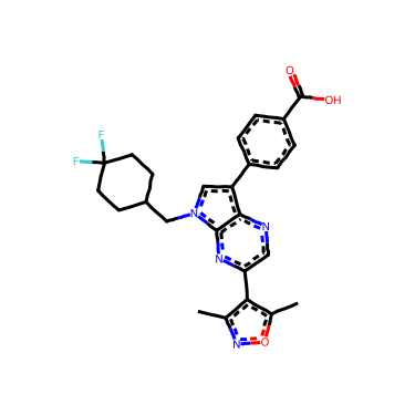 Cc1noc(C)c1-c1cnc2c(-c3ccc(C(=O)O)cc3)cn(CC3CCC(F)(F)CC3)c2n1